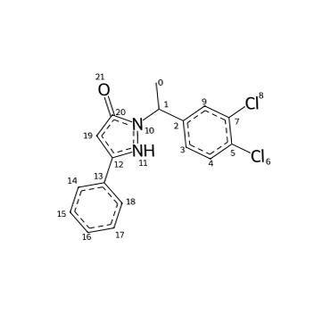 CC(c1ccc(Cl)c(Cl)c1)n1[nH]c(-c2ccccc2)cc1=O